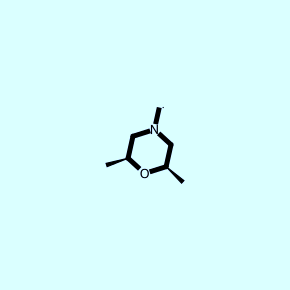 [CH2]N1C[C@@H](C)O[C@@H](C)C1